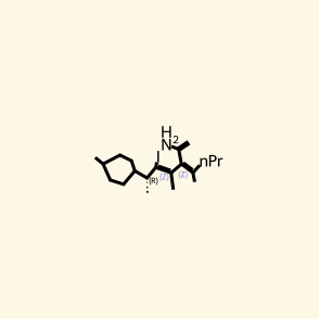 C=C(N)C(=C(/C)CCC)/C(C)=C(\I)[C@H](C)C1CCC(C)CC1